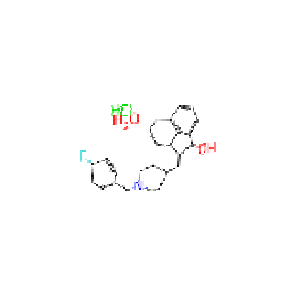 Cl.O.OC1c2cccc3c2C(CCC3)C1CC1CCN(Cc2ccc(F)cc2)CC1